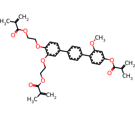 C=C(C)C(=O)OCCOc1ccc(-c2ccc(-c3ccc(OC(=O)C(=C)C)cc3OC)cc2)cc1OCCOC(=O)C(=C)C